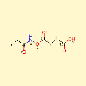 CCC(=O)NOC(=O)CCC(=O)O